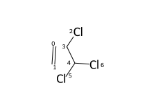 C=C.ClCC(Cl)Cl